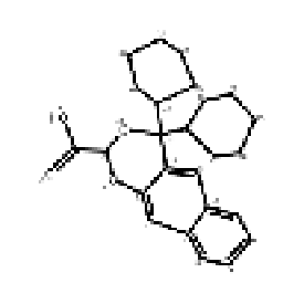 O=C(O)C1Oc2cc3ccccc3cc2C(C2CCCCC2)(C2CCCCC2)O1